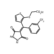 O=C(O)CSc1sccc1C(=C1C(=O)NNC1=O)c1cccc(C(F)(F)F)c1